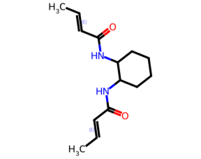 C/C=C/C(=O)NC1CCCCC1NC(=O)/C=C/C